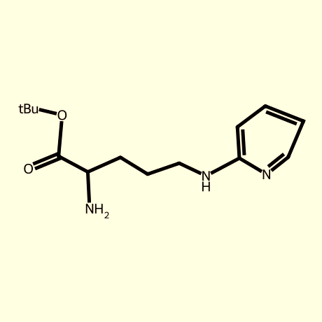 CC(C)(C)OC(=O)C(N)CCCNc1ccccn1